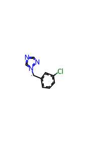 Clc1cccc([CH]n2cncn2)c1